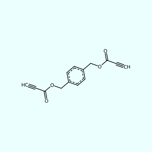 C#CC(=O)OCc1ccc(COC(=O)C#C)cc1